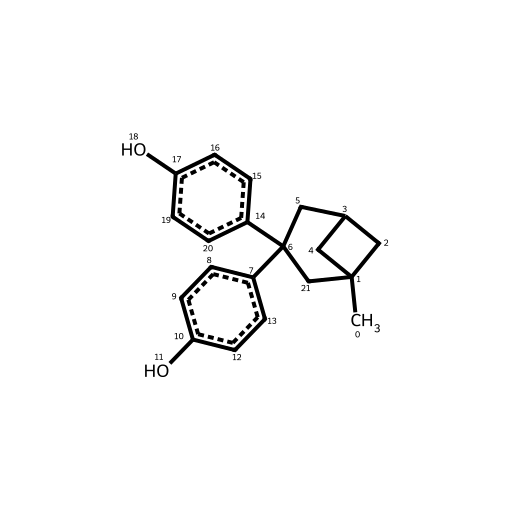 CC12CC(C1)CC(c1ccc(O)cc1)(c1ccc(O)cc1)C2